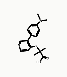 CN(C)c1ccc(-c2cnccc2SC(C)(C)C(=O)O)cc1